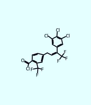 O=C(Cl)c1ccc(C/C=C(\c2cc(Cl)c(Cl)c(Cl)c2)C(F)(F)F)cc1C(F)(F)F